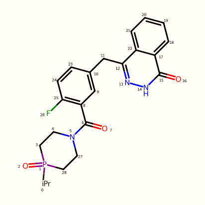 CC(C)P1(=O)CCN(C(=O)c2cc(Cc3n[nH]c(=O)c4ccccc34)ccc2F)CC1